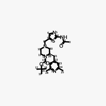 CC(=O)Nc1ncc(CN2CCN(C(=O)OC(C)(C)C)[C@H](Cc3cc(C)nc(C)c3)C2)s1